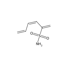 C=C/C=C\C(=C)S(N)(=O)=O